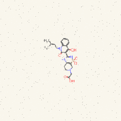 CC(C)CCn1c(=O)c(C2=NS(=O)(=O)C3=C(CCN(CC(=O)O)C3)N2)c(O)c2ccccc21